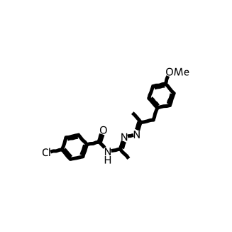 COc1ccc(C/C(C)=N/N=C(\C)NC(=O)c2ccc(Cl)cc2)cc1